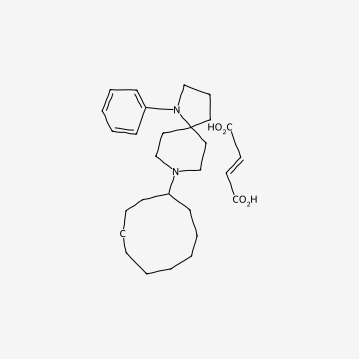 O=C(O)C=CC(=O)O.c1ccc(N2CCCC23CCN(C2CCCCCCCCC2)CC3)cc1